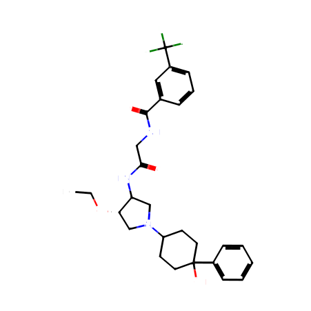 CCO[C@H]1CN(C2CCC(O)(c3ccccc3)CC2)CC1NC(=O)CNC(=O)c1cccc(C(F)(F)F)c1